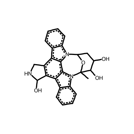 CC12OC(CC(O)C1O)n1c3ccccc3c3c4c(c5c6ccccc6n2c5c31)C(O)NC4